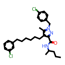 CCCC(C)NC(=O)c1nn(Cc2ccc(Cl)cc2)c(C)c1CCCCCCc1cccc(Cl)c1